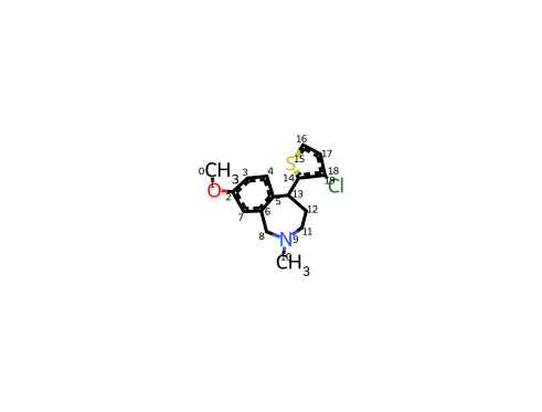 COc1ccc2c(c1)CN(C)CCC2c1sccc1Cl